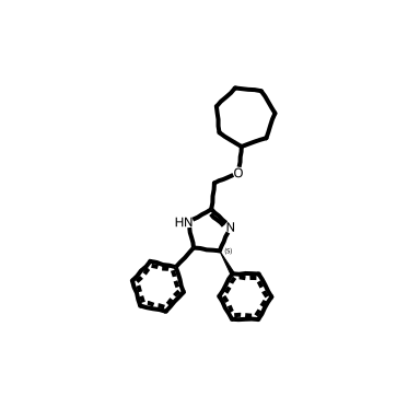 c1ccc(C2NC(COC3CCCCCC3)=N[C@H]2c2ccccc2)cc1